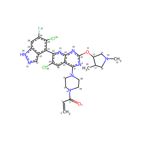 C=CC(=O)N1CCN(c2nc(OC3CN(C)CC3C)nc3nc(-c4c(Cl)c(F)cc5[nH]ncc45)c(Cl)cc23)CC1